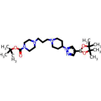 CC(C)(C)OC(=O)N1CCN(CCCN2CCC(n3cc(B4OC(C)(C)C(C)(C)O4)cn3)CC2)CC1